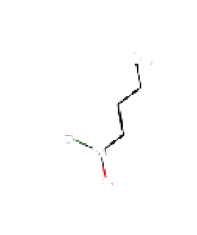 CCC[CH2][Sn]([OH])[Cl]